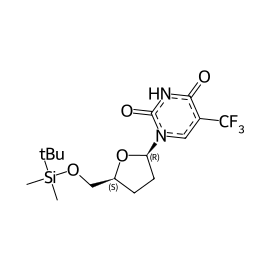 CC(C)(C)[Si](C)(C)OC[C@@H]1CC[C@H](n2cc(C(F)(F)F)c(=O)[nH]c2=O)O1